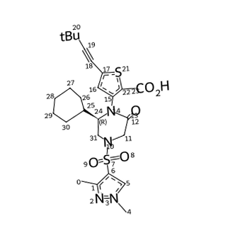 Cc1nn(C)cc1S(=O)(=O)N1CC(=O)N(c2cc(C#CC(C)(C)C)sc2C(=O)O)[C@H](C2CCCCC2)C1